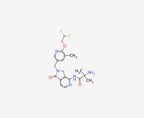 Cc1cc(CN2Cc3c(ccnc3NC(=O)C(C)(C)N)C2=O)cnc1OCC(F)F